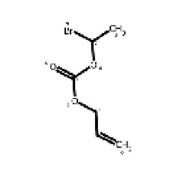 C=CCOC(=O)OC(C)Br